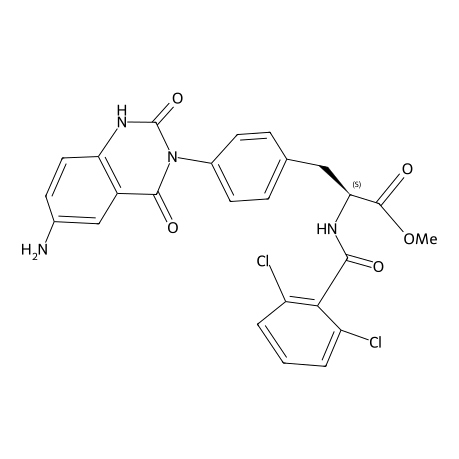 COC(=O)[C@H](Cc1ccc(-n2c(=O)[nH]c3ccc(N)cc3c2=O)cc1)NC(=O)c1c(Cl)cccc1Cl